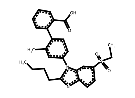 CCCCc1nc2ccc(S(=O)(=O)CC)cc2n1-c1ccc(-c2ccccc2C(=O)O)c(C)c1